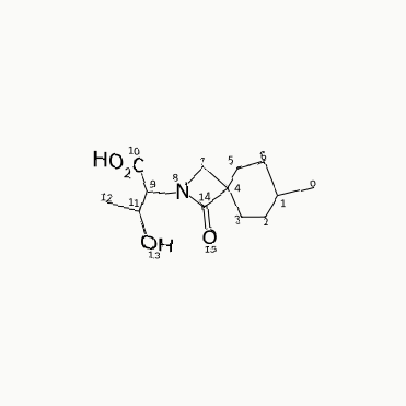 CC1CCC2(CC1)CN(C(C(=O)O)C(C)O)C2=O